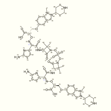 C[n+]1c2ccc(OC[C@H](O/N=C(\C(=O)N[C@@H]3C(=O)N(OS(=O)(=O)ON4C(=O)[C@@H](NC(=O)/C(=N\O[C@@H](COc5ccc6c(c5)cn(C5CCNCC5)[n+]6C)C(=O)O)c5csc(N)n5)C4(C)C)C3(C)C)c3csc(N)n3)C(=O)O)cc2cn1C1CCNCC1